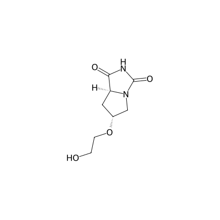 O=C1NC(=O)N2C[C@H](OCCO)C[C@@H]12